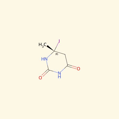 C[C@@]1(I)CC(=O)NC(=O)N1